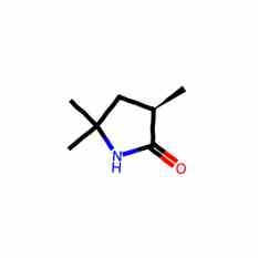 C[C@@H]1CC(C)(C)NC1=O